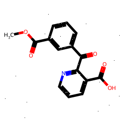 COC(=O)c1cccc(C(=O)c2ncccc2C(=O)O)c1